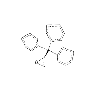 c1ccc(C(c2ccccc2)(c2ccccc2)[C@H]2CO2)cc1